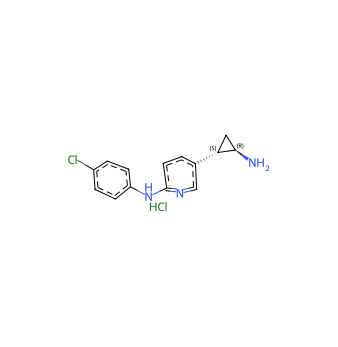 Cl.N[C@@H]1C[C@H]1c1ccc(Nc2ccc(Cl)cc2)nc1